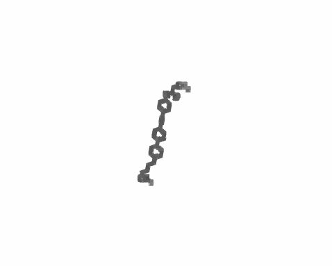 C=CC(=O)Oc1ccc(C#Cc2ccc(-c3ccc(CCCCC)cc3)cc2)cc1